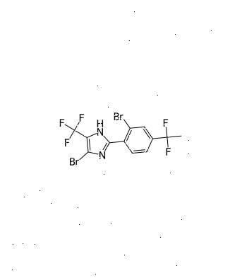 CC(F)(F)c1ccc(-c2nc(Br)c(C(F)(F)F)[nH]2)c(Br)c1